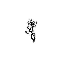 [2H]C([2H])([2H])C1(C([2H])([2H])[2H])Cn2nc(-c3ccc(F)cn3)c(Br)c2CO1